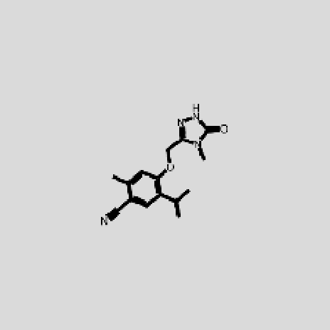 Cc1cc(OCc2n[nH]c(=O)n2C)c(C(C)C)cc1C#N